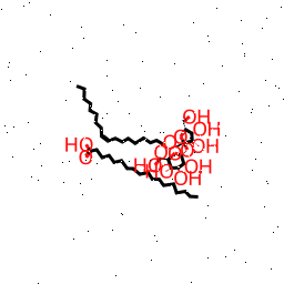 CCCCCCCC/C=C\CCCCCCCC(=O)OC[C@@]1(O[C@H]2O[C@H](CO)[C@@H](O)[C@H](O)[C@H]2O)O[C@H](CO)[C@@H](O)[C@@H]1O.CCCCCCCCCCCCCCCCCC(=O)O